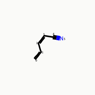 C=C/[C]=C\C#N